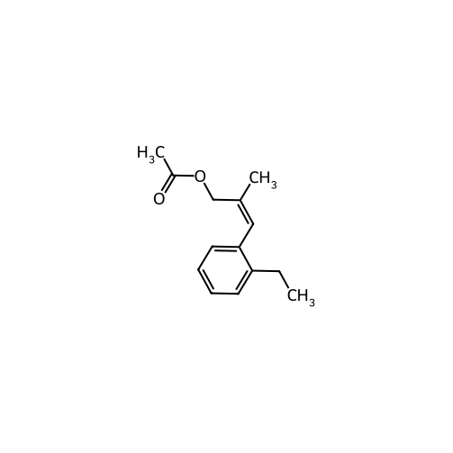 CCc1ccccc1C=C(C)COC(C)=O